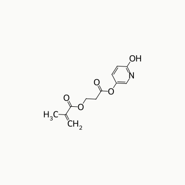 C=C(C)C(=O)OCCC(=O)Oc1ccc(O)nc1